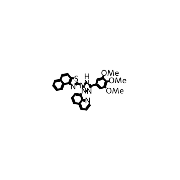 COc1cc(C2=NN(c3cccc4cccnc34)N(c3nc4c(ccc5ccccc54)s3)N2)cc(OC)c1OC